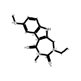 CCN1Cc2[nH]c3ccc(OC)cc3c2C(=O)N(C)C1=O